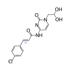 O=C(/C=C/c1ccc(Cl)cc1)Nc1ccn(CC(O)O)c(=O)n1